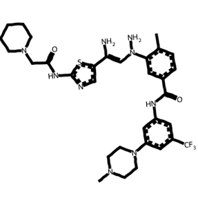 Cc1ccc(C(=O)Nc2cc(N3CCN(C)CC3)cc(C(F)(F)F)c2)cc1N(N)/C=C(\N)c1cnc(NC(=O)CN2CCCCC2)s1